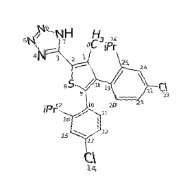 Cc1c(-c2nnn[nH]2)sc(-c2ccc(Cl)cc2C(C)C)c1-c1ccc(Cl)cc1C(C)C